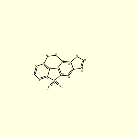 O=S1(=O)c2cccc3c2-c2c1cc1c(c2CC3)CC=N1